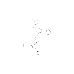 O=C(Nc1cc(Oc2ccccc2)cc(Oc2cccnc2)c1)c1nn2c(C(F)(F)F)cc(-c3cccs3)nc2c1Cl